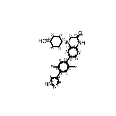 Cc1cc(-c2cn[nH]c2)c(F)cc1-c1cnc2c(n1)N([C@H]1CC[C@H](O)CC1)CC(=O)N2